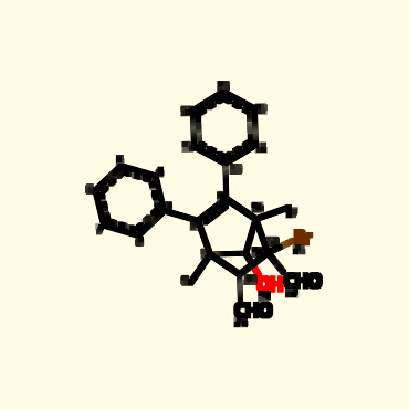 CC12C(c3ccccc3)=C(c3ccccc3)C(C)(C1O)C(Br)(C=O)C2C=O